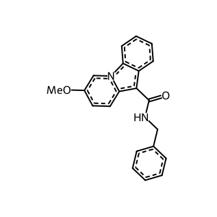 COc1ccc2c(C(=O)NCc3ccccc3)c3ccccc3n2c1